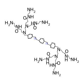 NCCNC(=O)CCN(CCC(=O)NCCN)CCN(CCC(=O)NCCN)Cc1ccc(/C=C/c2ccc(/C=C/c3ccc(CN(CCC(=O)NCCN)CCN(CCC(=O)NCCN)CCC(=O)NCCN)cc3)cc2)cc1